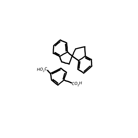 O=C(O)c1ccc(C(=O)O)cc1.c1ccc2c(c1)CCC21CCc2ccccc21